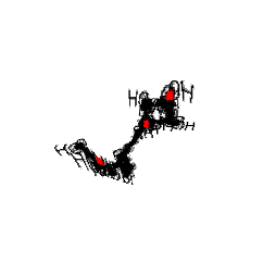 O=C(O)CCC(NC(=O)N[C@@H](CCCCN(Cc1ccc(Br)cc1)C(=O)CCCCNC(=S)Nc1ccc(CC2CN(CC(=O)O)CCN(CC(=O)O)CCN(CC(=O)O)CCN2CC(=O)O)cc1)C(=O)O)C(=O)O